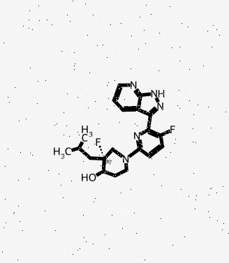 CC(C)C[C@@]1(F)CN(c2ccc(F)c(-c3n[nH]c4ncccc34)n2)CCC1O